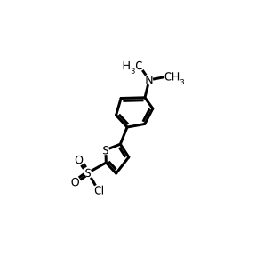 CN(C)c1ccc(-c2ccc(S(=O)(=O)Cl)s2)cc1